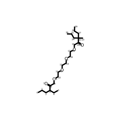 CCCC(CC)C(=O)COCCOCCOCCOCC(=O)C(C)(CCC)CCC